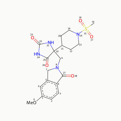 COc1ccc2c(c1)CN(CC1(C3CCN(S(C)(=O)=O)CC3)NC(=O)NC1=O)C2=O